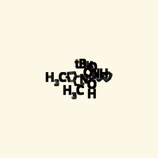 Cc1ccc2c(c1)C[C@@H](C)CN(C[C@@H](O)[C@H](Cc1ccccc1)NC(=O)OC(C)(C)C)C2